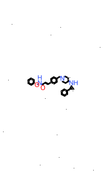 O=C(/C=C/c1ccc(CN2CCC(NC3CC3c3ccccc3)CC2)cc1)NOc1ccccc1